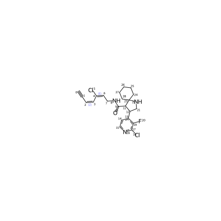 C#C/C=C\C(Cl)=C/CNC(=O)C1C(c2ccnc(Cl)c2F)CNC12CCCCC2